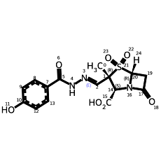 C[C@]1(/C=N/NC(=O)c2ccc(O)cc2)[C@H](C(=O)O)N2C(=O)C[C@H]2S1(=O)=O